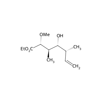 C=C[C@@H](C)[C@@H](O)[C@@H](C)[C@@H](OC)C(=O)OCC